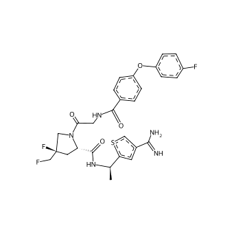 C[C@@H](NC(=O)[C@@H]1C[C@](F)(CF)CN1C(=O)CNC(=O)c1ccc(Oc2ccc(F)cc2)cc1)c1cc(C(=N)N)cs1